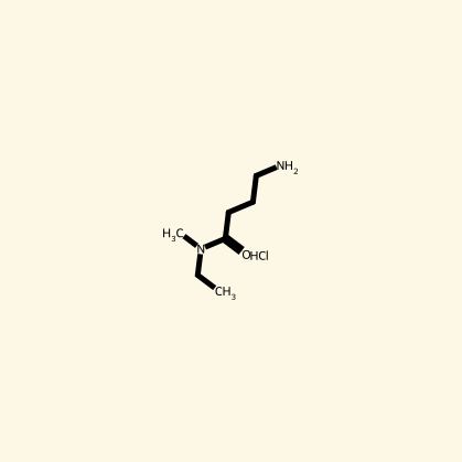 CCN(C)C(=O)CCCN.Cl